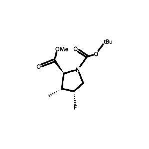 COC(=O)[C@@H]1[C@@H](C)[C@@H](F)CN1C(=O)OC(C)(C)C